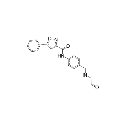 O=CCNCc1ccc(NC(=O)c2cc(-c3ccccc3)on2)cc1